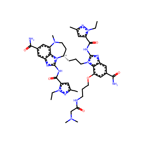 CCn1nc(C)cc1C(=O)Nc1nc2cc(C(N)=O)cc(OCCCNC(=O)CN(C)C)c2n1CCC[C@H]1CCN(C)c2cc(C(N)=O)cc3nc(NC(=O)c4cc(C)nn4CC)n1c23